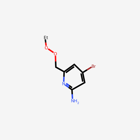 CCOOCc1cc(Br)cc(N)n1